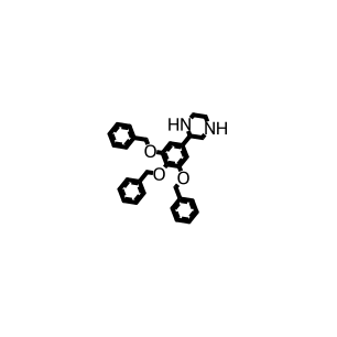 c1ccc(COc2cc(C3CNCCN3)cc(OCc3ccccc3)c2OCc2ccccc2)cc1